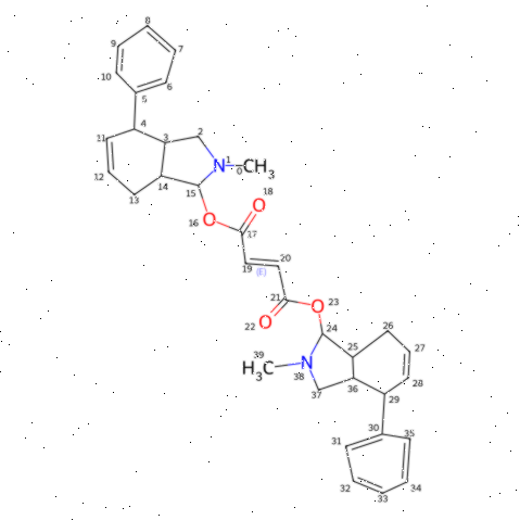 CN1CC2C(c3ccccc3)C=CCC2C1OC(=O)/C=C/C(=O)OC1C2CC=CC(c3ccccc3)C2CN1C